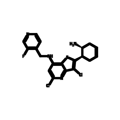 N[C@@H]1CC=CC[C@H]1c1sc2c(NCc3ccncc3F)cc(Cl)nc2c1Cl